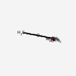 C=C.C=COC(C)=O.CCCCCCCCC=CCCCCCCCCOCCCCCCCCC=CCCCCCCCC